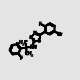 CC(C)(Nc1nnc(-c2cc(Br)ccc2F)s1)c1ncccc1F